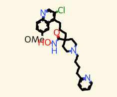 COc1ccc2ncc(Cl)c(CCCC3(C(=O)NO)CCN(CCCCc4ccccn4)CC3)c2c1